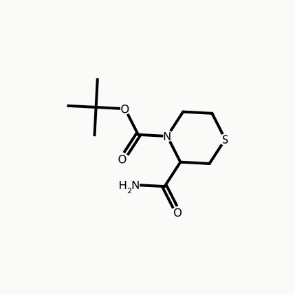 CC(C)(C)OC(=O)N1CCSCC1C(N)=O